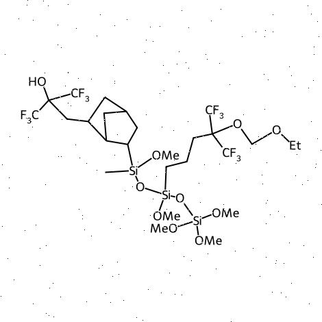 CCOCOC(CCC[Si](OC)(O[Si](OC)(OC)OC)O[Si](C)(OC)C1CC2CC(CC(O)(C(F)(F)F)C(F)(F)F)C1C2)(C(F)(F)F)C(F)(F)F